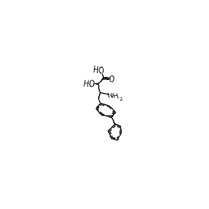 NC(Cc1ccc(-c2ccccc2)cc1)C(O)C(=O)O